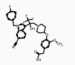 COc1cc(CC(=O)O)ccc1OC1CCN(CC(O)(c2cn(Cc3ccc(F)cc3)c3cc(C#N)ccc23)C(F)(F)F)CC1